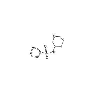 O=S(=O)(NC1CCCOC1)c1ccccc1